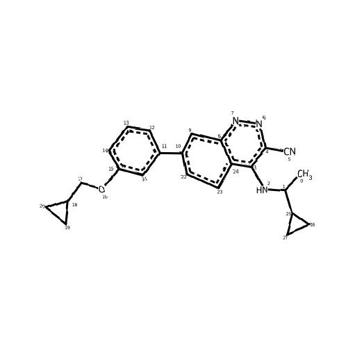 CC(Nc1c(C#N)nnc2cc(-c3cccc(OCC4CC4)c3)ccc12)C1CC1